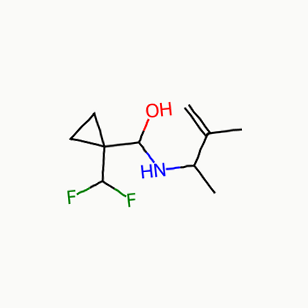 C=C(C)C(C)NC(O)C1(C(F)F)CC1